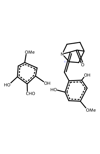 COc1cc(O)c(/C=C2\C(=O)C3CCN2CC3)c(O)c1.COc1cc(O)c(C=O)c(O)c1